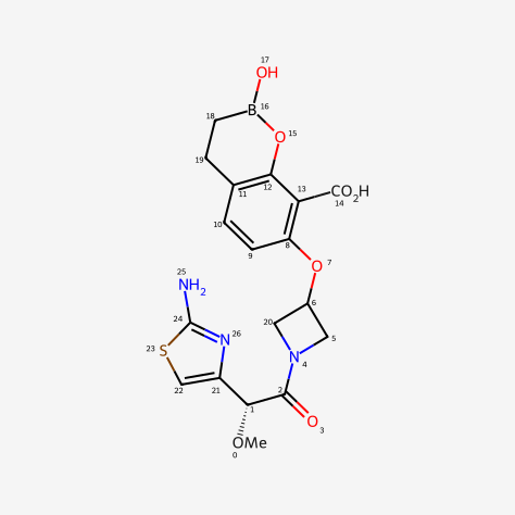 CO[C@@H](C(=O)N1CC(Oc2ccc3c(c2C(=O)O)OB(O)CC3)C1)c1csc(N)n1